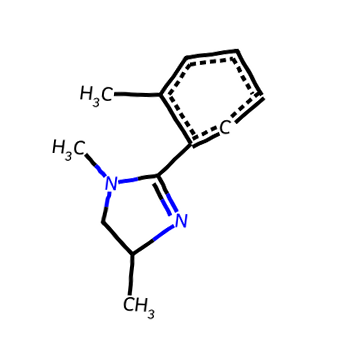 Cc1ccccc1C1=NC(C)CN1C